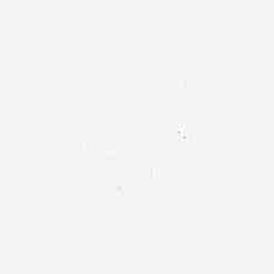 Cc1cc(B(O)O)sn1.O